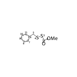 COC(=O)SSCc1ccccc1